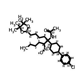 CCCCC(N=O)C(CCCCB1OC(C)(C)C(C)(C)O1)(NC(C)=O)C1CCC(c2ccc(Cl)cc2)CC1